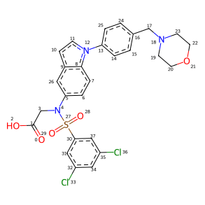 O=C(O)CN(c1ccc2c(ccn2-c2ccc(CN3CCOCC3)cc2)c1)S(=O)(=O)c1cc(Cl)cc(Cl)c1